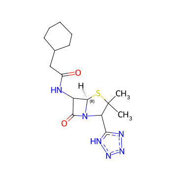 CC1(C)S[C@@H]2C(NC(=O)CC3CCCCC3)C(=O)N2C1c1nnn[nH]1